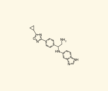 NCC(Nc1ccc2[nH]cnc2c1)c1ccc(-c2noc(C3CC3)n2)cc1